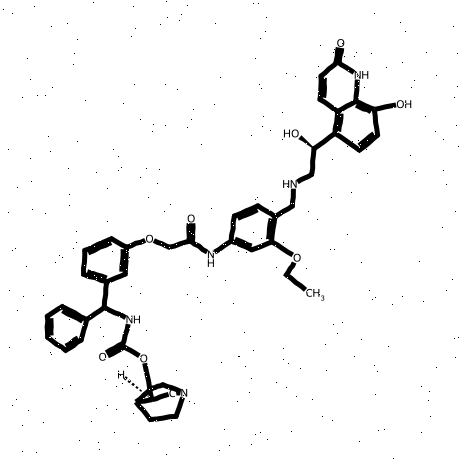 CCOc1cc(NC(=O)COc2cccc(C(NC(=O)O[C@H]3CN4CCC3CC4)c3ccccc3)c2)ccc1CNC[C@@H](O)c1ccc(O)c2[nH]c(=O)ccc12